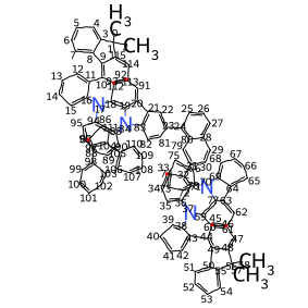 CC1(C)c2ccccc2-c2c(-c3ccccc3N(C3=c4c(c5cc(-c6cccc7ccc(-c8cccc(N(c9ccccc9-c9cccc%10c9-c9ccccc9C%10(C)C)c9cccc%10c%11ccccc%11n(-c%11ccccc%11)c9%10)c8)cc67)ccc5n4-c4ccccc4)=CCC3)c3ccc(-c4ccccc4)c(-c4ccccc4)c3)cccc21